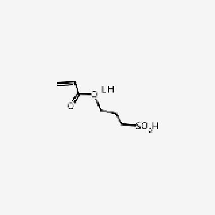 C=CC(=O)OCCCS(=O)(=O)O.[LiH]